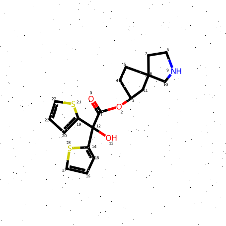 O=C(OC1CCC2(CCNC2)C1)C(O)(c1cccs1)c1cccs1